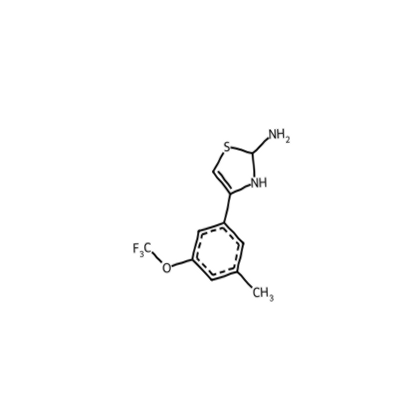 Cc1cc(OC(F)(F)F)cc(C2=CSC(N)N2)c1